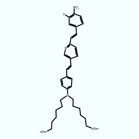 CCCCCCCCCCCCCCCCN(CCCCCCCCCCCCCCCC)c1ccc(C=Cc2ccc(C=Cc3ccc([N+](=O)[O-])c(F)c3)nc2)cc1